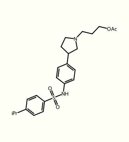 CC(=O)OCCCN1CCC(c2ccc(NS(=O)(=O)c3ccc(C(C)C)cc3)cc2)C1